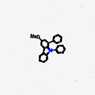 COc1cc(-c2ccccc2)c2c(c1)c1ccccc1n2-c1ccccc1